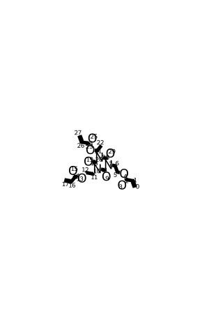 C=CC(=O)OCCn1c(=O)n(CCOC(=O)C=C)c(=O)n(C(C)OC(=O)C=C)c1=O